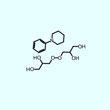 OCC(O)COOCC(O)CO.c1ccc(N2CCCCC2)cc1